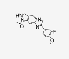 COc1ccc(-c2cnc3cc4c(cc3n2)N(C(C)=O)NC4)cc1F